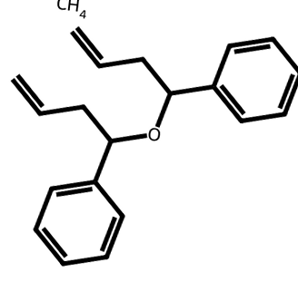 C.C=CCC(OC(CC=C)c1ccccc1)c1ccccc1